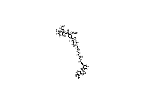 CC[C@@H]1C(=O)N(C)c2cnc(Nc3ccc(C(=O)NC4CCN(CCOCCCNCCCC#Cc5cccc6c5CN(C5CCC(=O)NC5=O)C6=O)CC4)cc3OC)nc2N1C1CCCC1